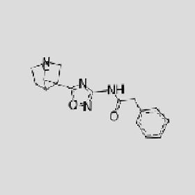 O=C(Cc1ccccc1)Nc1noc(C2CN3CCC2CC3)n1